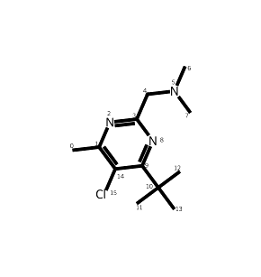 Cc1nc(CN(C)C)nc(C(C)(C)C)c1Cl